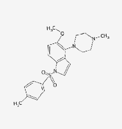 COc1ccc2c(ccn2S(=O)(=O)c2ccc(C)cc2)c1N1CCN(C)CC1